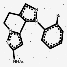 CC(=O)Nc1cc2n(n1)CCc1cnn(-c3ccccc3Br)c1-2